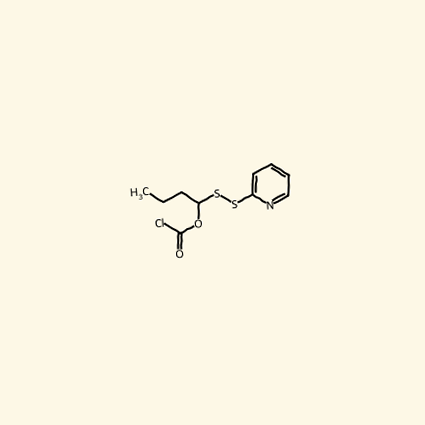 CCCC(OC(=O)Cl)SSc1ccccn1